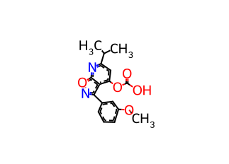 COc1cccc(-c2noc3nc(C(C)C)cc(OC(=O)O)c23)c1